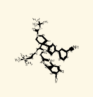 CC(C)(C)OC(=O)N1CCC(c2ccc(-c3cccc(C#N)c3)cc2)(C(COCC[Si](C)(C)C)OCc2nc3cc(Cl)c(Cl)cc3[nH]2)CC1